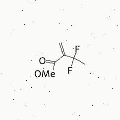 C=C(C(=O)OC)C(C)(F)F